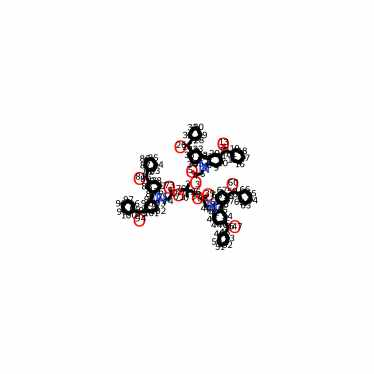 CC(COC(=O)Cn1c2ccc(C(=O)c3ccccc3)cc2c2cc(C(=O)c3ccccc3)ccc21)(COC(=O)Cn1c2ccc(C(=O)c3ccccc3)cc2c2cc(C(=O)c3ccccc3)ccc21)COC(=O)Cn1c2ccc(C(=O)c3ccccc3)cc2c2cc(C(=O)c3ccccc3)ccc21